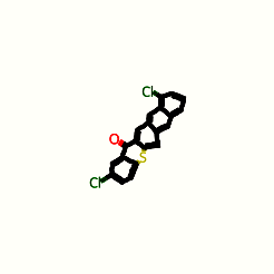 O=c1c2cc(Cl)ccc2sc2cc3cc4cccc(Cl)c4cc3cc12